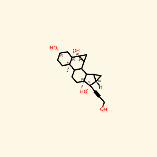 C[C@]12CCC3C(C4C[C@H]4[C@]4(O)C[C@@H](O)CC[C@]34C)C1C1C[C@@H]1[C@@]2(O)C#CCO